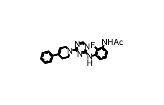 CC(=O)Nc1cccc(Nc2ncnc(N3CC=C(c4ccccc4)CC3)n2)c1F